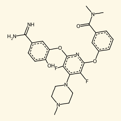 CN1CCN(c2c(F)c(Oc3cccc(C(=O)N(C)C)c3)nc(Oc3cc(C(=N)N)ccc3O)c2F)CC1